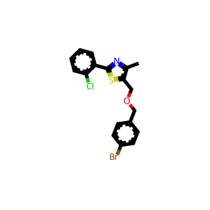 Cc1nc(-c2ccccc2Cl)sc1COCc1ccc(Br)cc1